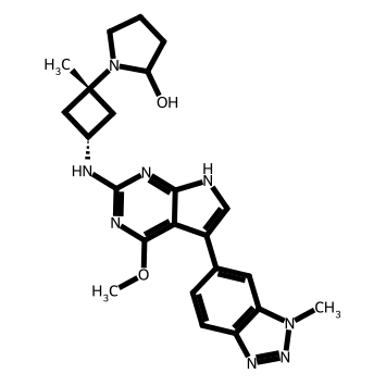 COc1nc(N[C@H]2C[C@@](C)(N3CCCC3O)C2)nc2[nH]cc(-c3ccc4nnn(C)c4c3)c12